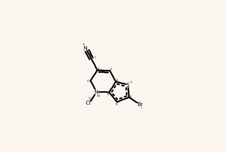 N#CC1=Cc2sc(Br)cc2N(Cl)C1